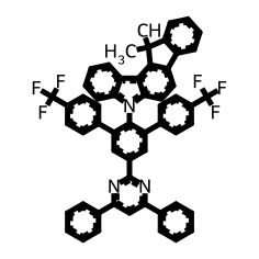 CC1(C)c2ccccc2-c2ccc3c(c21)c1ccccc1n3-c1c(-c2ccc(C(F)(F)F)cc2)cc(-c2nc(-c3ccccc3)cc(-c3ccccc3)n2)cc1-c1ccc(C(F)(F)F)cc1